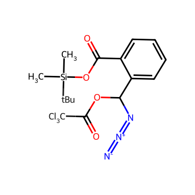 CC(C)(C)[Si](C)(C)OC(=O)c1ccccc1C(N=[N+]=[N-])OC(=O)C(Cl)(Cl)Cl